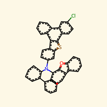 Clc1ccc2c(c1)c1ccccc1c1c3ccc(N(c4ccccc4-c4ccccc4)c4cccc5c4oc4ccccc45)cc3sc21